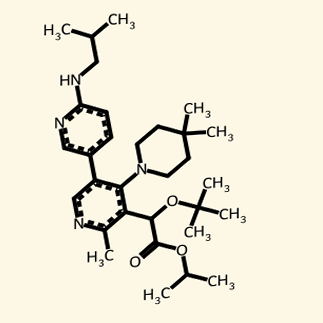 Cc1ncc(-c2ccc(NCC(C)C)nc2)c(N2CCC(C)(C)CC2)c1C(OC(C)(C)C)C(=O)OC(C)C